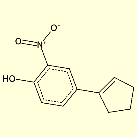 O=[N+]([O-])c1cc(C2=CCCC2)ccc1O